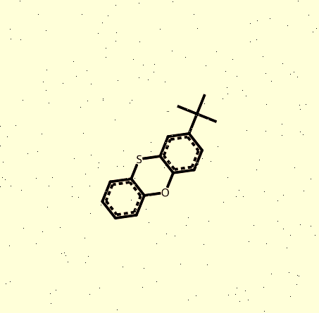 CC(C)(C)c1ccc2c(c1)Sc1ccccc1O2